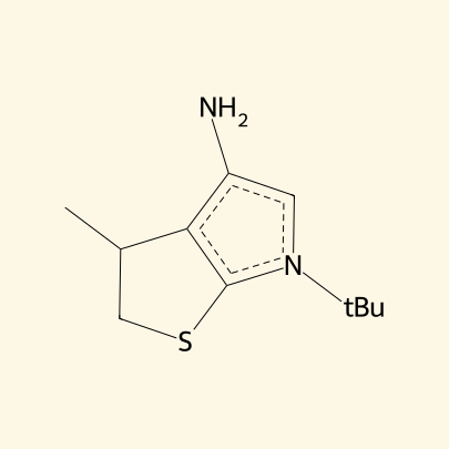 CC1CSc2c1c(N)cn2C(C)(C)C